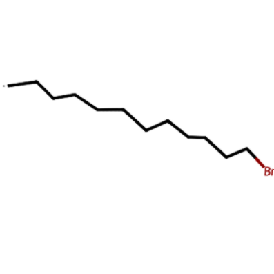 [CH2]CCCCCCCCCCCBr